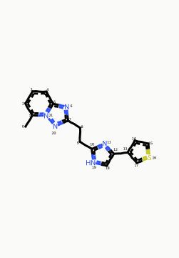 Cc1cccc2nc(CCc3nc(-c4ccsc4)c[nH]3)nn12